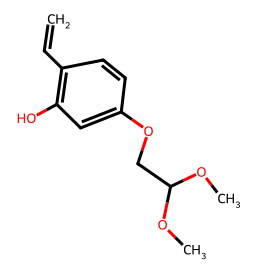 C=Cc1ccc(OCC(OC)OC)cc1O